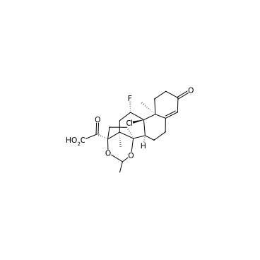 CC1O[C@@]2(C(=O)C(=O)O)CC[C@@]3(O1)[C@@H]1CCC4=CC(=O)CC[C@]4(C)[C@@]1(Cl)[C@@H](F)C[C@]23C